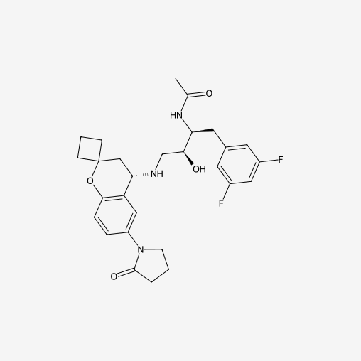 CC(=O)N[C@@H](Cc1cc(F)cc(F)c1)[C@@H](O)CN[C@H]1CC2(CCC2)Oc2ccc(N3CCCC3=O)cc21